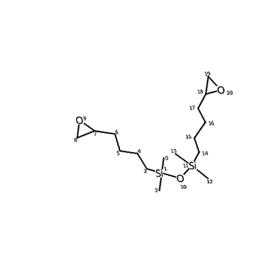 C[Si](C)(CCCCC1CO1)O[Si](C)(C)CCCCC1CO1